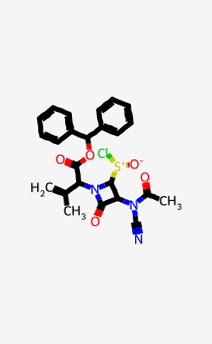 C=C(C)C(C(=O)OC(c1ccccc1)c1ccccc1)N1C(=O)C(N(C#N)C(C)=O)C1[S+]([O-])Cl